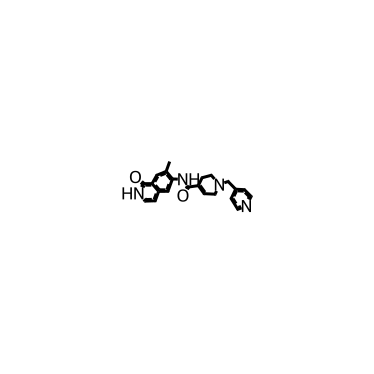 Cc1cc2c(=O)[nH]ccc2cc1NC(=O)C1=CCN(Cc2ccncc2)CC1